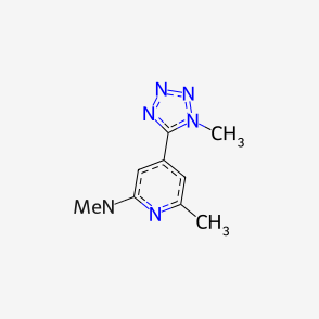 CNc1cc(-c2nnnn2C)cc(C)n1